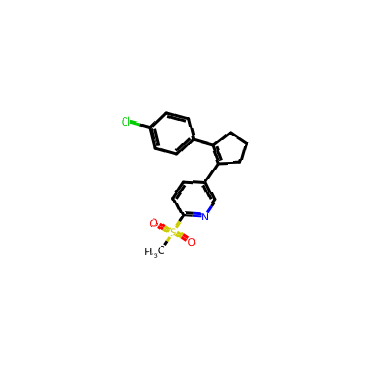 CS(=O)(=O)c1ccc(C2=C(c3ccc(Cl)cc3)CCC2)cn1